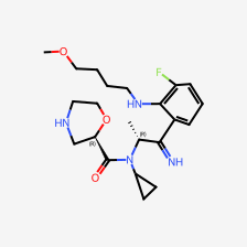 COCCCCNc1c(F)cccc1C(=N)[C@@H](C)N(C(=O)[C@H]1CNCCO1)C1CC1